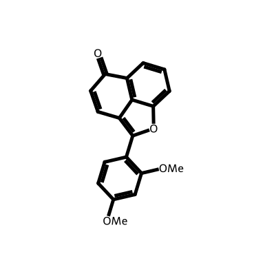 COc1ccc(-c2oc3cccc4c3c2C=CC4=O)c(OC)c1